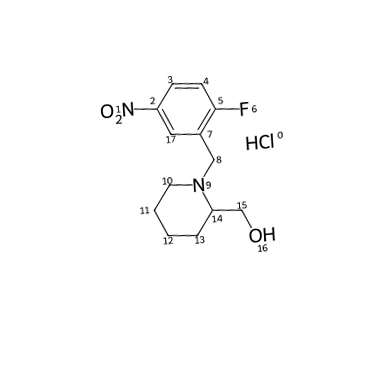 Cl.O=[N+]([O-])c1ccc(F)c(CN2CCCCC2CO)c1